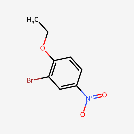 CCOc1ccc([N+](=O)[O-])cc1Br